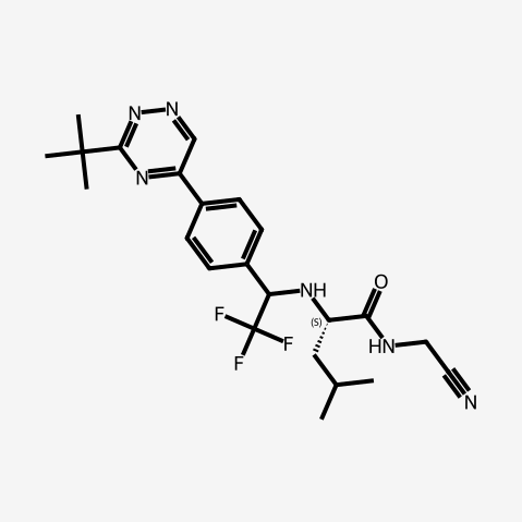 CC(C)C[C@H](NC(c1ccc(-c2cnnc(C(C)(C)C)n2)cc1)C(F)(F)F)C(=O)NCC#N